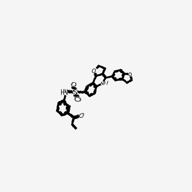 CCC(=O)c1cccc(NS(=O)(=O)c2ccc3c(c2)C2OCCC2C(c2ccc4c(c2)CCO4)N3)c1